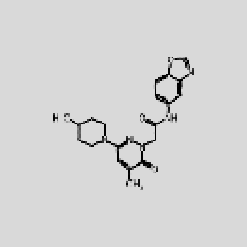 Cc1cc(N2CCC(C)CC2)nn(CC(=O)Nc2ccc3ocnc3c2)c1=O